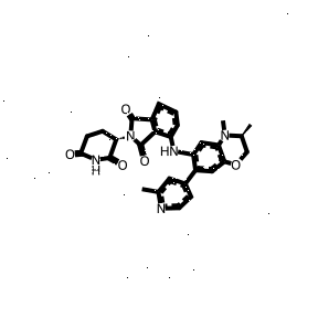 Cc1cc(-c2cc3c(cc2Nc2cccc4c2C(=O)N([C@H]2CCC(=O)NC2=O)C4=O)N(C)[C@@H](C)CO3)ccn1